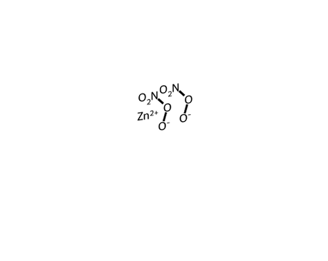 O=[N+]([O-])O[O-].O=[N+]([O-])O[O-].[Zn+2]